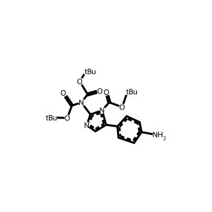 CC(C)(C)OC(=O)N(C(=O)OC(C)(C)C)c1ncc(-c2ccc(N)cc2)n1C(=O)OC(C)(C)C